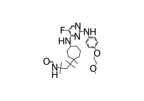 COCCOc1ccc(Nc2ncc(F)c(NC3CCCC(C)(C(C)(C)CC(C)(C)NC=O)CC3)n2)cc1